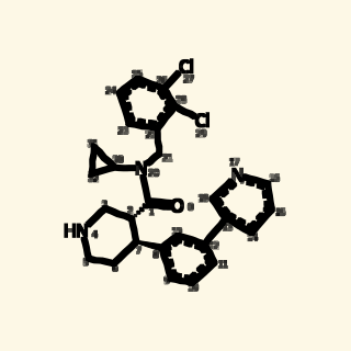 O=C([C@H]1CNCC[C@@H]1c1cccc(-c2cccnc2)c1)N(Cc1cccc(Cl)c1Cl)C1CC1